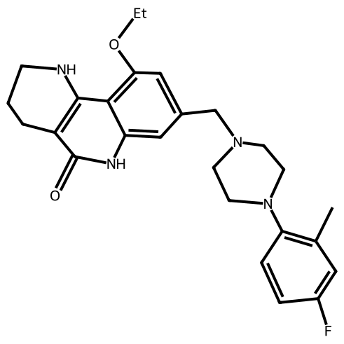 CCOc1cc(CN2CCN(c3ccc(F)cc3C)CC2)cc2[nH]c(=O)c3c(c12)NCCC3